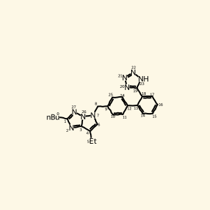 CCCCc1nc2c(CC)cn(Cc3ccc(-c4ccccc4-c4nnn[nH]4)cc3)n2n1